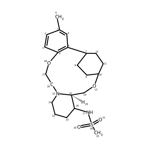 Cc1ccc2c(c1)C1CCC(CC1)OC[C@H]1C(NS(C)(=O)=O)CCCN1CCO2